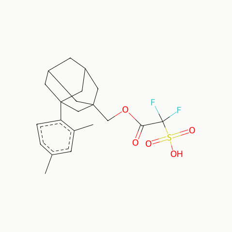 Cc1ccc(C23CC4CC(CC(COC(=O)C(F)(F)S(=O)(=O)O)(C4)C2)C3)c(C)c1